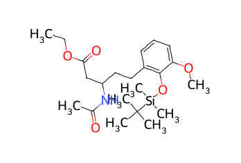 CCOC(=O)CC(CCc1cccc(OC)c1O[Si](C)(C)C(C)(C)C)NC(C)=O